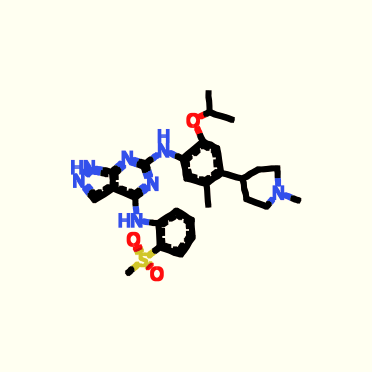 Cc1cc(Nc2nc(Nc3ccccc3S(C)(=O)=O)c3cn[nH]c3n2)c(OC(C)C)cc1C1CCN(C)CC1